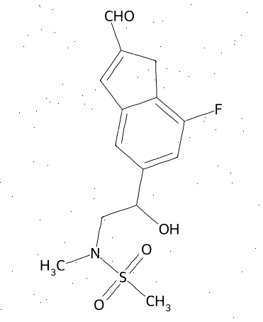 CN(CC(O)c1cc(F)c2c(c1)C=C(C=O)C2)S(C)(=O)=O